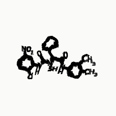 Cc1ccc(NC(=O)C(c2ccccc2)N(S)C(=O)Nc2cc([N+](=O)[O-])ccc2Cl)cc1C